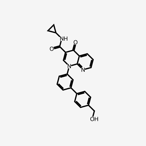 O=C(NC1CC1)c1cn(-c2cccc(-c3ccc(CO)cc3)c2)c2ncccc2c1=O